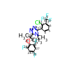 Cn1c(-c2cccc(C(F)(F)F)c2Cl)nnc1C(C)(C)Oc1c(F)cc(F)cc1F